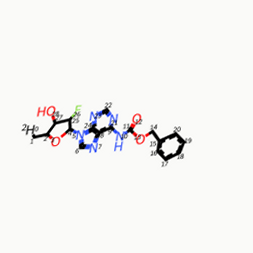 [2H]CC1OC(n2cnc3c(NC(=O)OCc4ccccc4)ncnc32)C(F)C1O